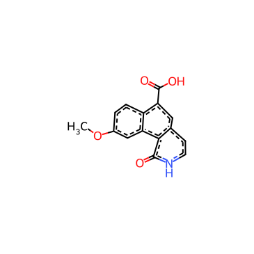 COc1ccc2c(C(=O)O)cc3cc[nH]c(=O)c3c2c1